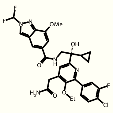 CCOc1c(CC(N)=O)cc([C@@](O)(CNC(=O)c2cc(OC)c3nn(C(F)F)cc3c2)C2CC2)nc1-c1ccc(Cl)c(F)c1